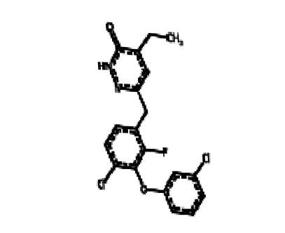 CCc1cc(Cc2ccc(Cl)c(Oc3cccc(Cl)c3)c2F)n[nH]c1=O